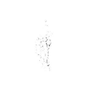 COC(=O)CCCC1(c2ccccc2)C23C=C4Cc5cc6cc7c8c9c(cc%10cc%11c%12c(c%13c%14c%15c(c4c5c4c6c8c(c%154)c4c9c%10c%12c%144)C%1321)C(=C3)C%11)C7